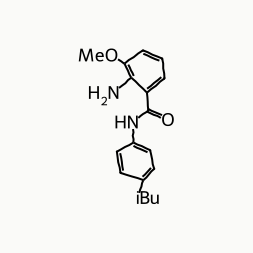 CCC(C)c1ccc(NC(=O)c2cccc(OC)c2N)cc1